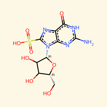 Nc1nc2c(nc(S(=O)(=O)O)n2[C@@H]2O[C@H](CO)C(O)C2O)c(=O)[nH]1